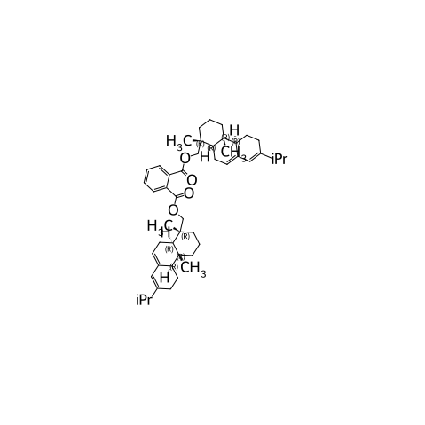 CC(C)C1=CC2=CC[C@H]3[C@](C)(COC(=O)c4ccccc4C(=O)OC[C@]4(C)CCC[C@]5(C)[C@H]6CCC(C(C)C)=CC6=CC[C@@H]45)CCC[C@]3(C)[C@H]2CC1